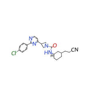 N#CCCC1CCC[C@@H](NC(=O)N2CC(c3ccnc(-c4ccc(Cl)cc4)n3)C2)C1